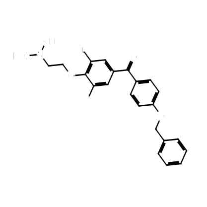 CN(C)CCOc1c(I)cc(C(=O)c2ccc(OCc3ccccc3)cc2)cc1I